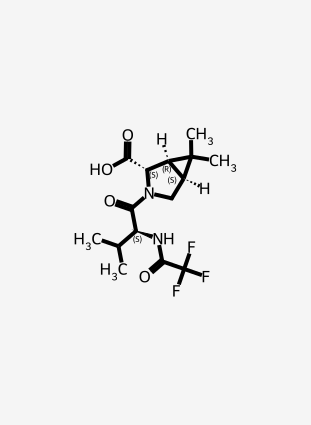 CC(C)[C@H](NC(=O)C(F)(F)F)C(=O)N1C[C@H]2[C@@H]([C@H]1C(=O)O)C2(C)C